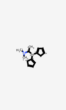 C[CH](N(C)C)[Fe]([C]1=CC=CC1)[C]1=CC=CC1